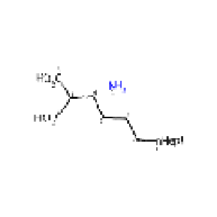 CCCCCCCCCCCC(C(=O)O)C(=O)O.N